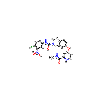 CNC(=O)c1cc(Oc2ccc3c(c2)CN(C(=O)Nc2ccc(F)c([N+](=O)[O-])c2)CC3)ccn1